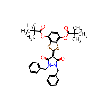 CC(C)(C)C(=O)Oc1ccc(OC(=O)C(C)(C)C)c2c1SC(=C1C(=O)N(Cc3ccccc3)N(Cc3ccccc3)C1=O)S2